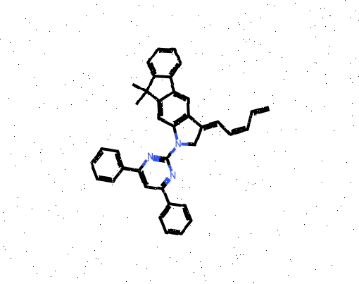 C=C/C=C\C=C1/CN(c2nc(-c3ccccc3)cc(-c3ccccc3)n2)c2cc3c(cc21)-c1ccccc1C3(C)C